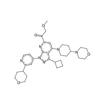 COCC(=O)c1cc(N2CCC(N3CCOCC3)CC2)c2c(C3CCC3)nn(-c3ccnc(C4CCOCC4)c3)c2n1